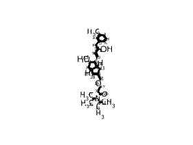 Cc1cccc(C[C@@H](O)/C=C/[C@@H]2[C@H]3CC(COCCC(=O)N(C(C)C)C(C)C)=C[C@H]3C[C@H]2O)c1